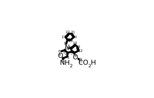 CC1C(CC(N)=O)c2c(OCC(=O)O)cccc2N1Cc1ccccc1